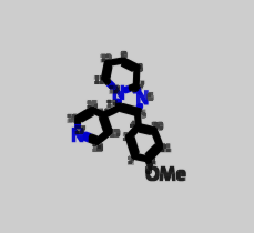 COc1ccc(-c2nc3ccccn3c2-c2ccncc2)cc1